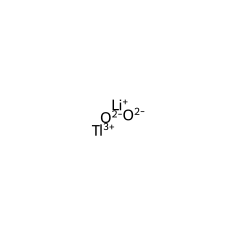 [Li+].[O-2].[O-2].[Tl+3]